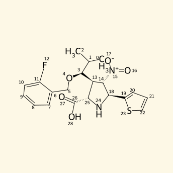 CC(C)[C@H](OCc1ccccc1F)[C@H]1[C@H]([N+](=O)[O-])[C@@H](c2cccs2)N[C@@H]1C(=O)O